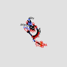 COC(=O)N1C2=C3NC(=O)/C(C)=C\C=C\[C@H](C)[C@H](OC(=O)CN(C)CCOC(=O)CCC(P(=O)(O)O)P(=O)(O)O)[C@@H](C)[C@@H](O)[C@@H](C)[C@H](C)[C@H](C)[C@@H](C)/C=C/O[C@@]4(C)Oc5c(C)c(O)c(c(c5C4=O)C2=NC12CCN(CC(C)C)CC2)C3=O